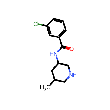 CC1[CH]C(NC(=O)c2cccc(Cl)c2)CNC1